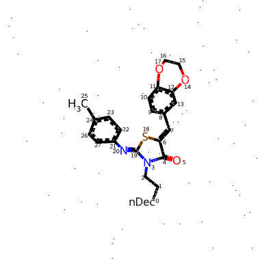 CCCCCCCCCCCCN1C(=O)/C(=C/c2ccc3c(c2)OCCO3)S/C1=N\c1ccc(C)cc1